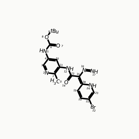 Cc1ncc(NC(=O)OC(C)(C)C)cc1NC(=O)/C(N=N)=C1\C=CC(Br)=CN1